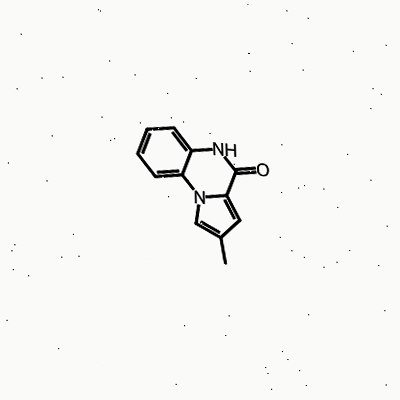 Cc1cc2c(=O)[nH]c3ccccc3n2c1